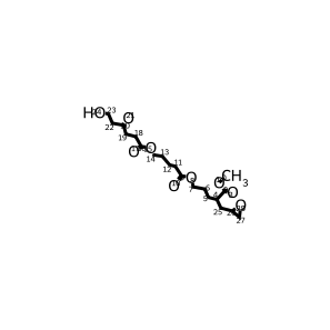 COC(=O)C(CCCOC(=O)CCCCOC(=O)CCC(=O)CCO)CC1CO1